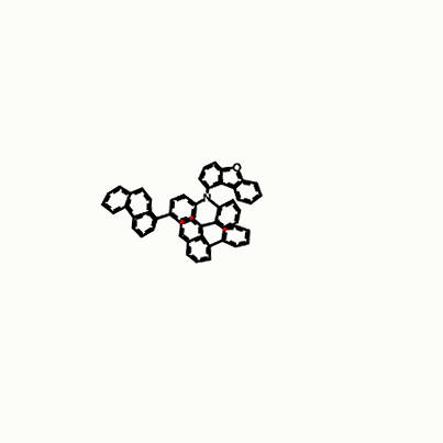 c1ccc(-c2cccc3cccc(-c4ccccc4N(c4ccc(-c5cccc6c5ccc5ccccc56)cc4)c4cccc5oc6ccccc6c45)c23)cc1